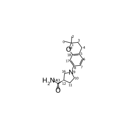 CC1(C)CCc2ccc(N3CC[C@@H](C(N)=O)C3)cc2O1